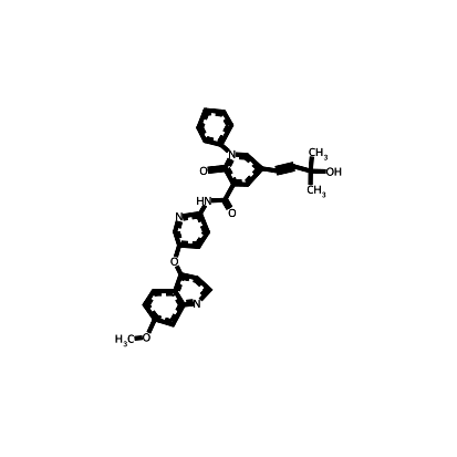 COc1ccc2c(Oc3ccc(NC(=O)c4cc(C#CC(C)(C)O)cn(-c5ccccc5)c4=O)nc3)ccnc2c1